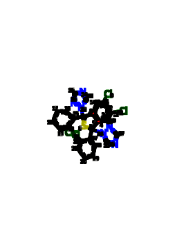 Clc1ccc(C(SC(c2ccc(Cl)cc2)(c2ccccc2Cl)n2cncn2)(c2ccccc2Cl)n2cncn2)cc1